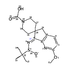 COc1ccc2c(n1)/C(=N\[S+]([O-])C(C)(C)C)C1(CCN(C(=O)O)CC1)C2